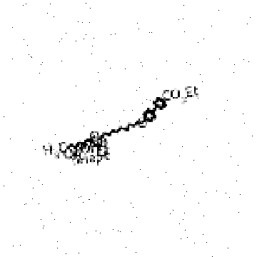 CCCCCCCC1OC(C)CC(CC(O)CC2CC(CC)OC(CCCCCCCCCOc3ccc(-c4ccc(C(=O)OCC)cc4)cc3)O2)O1